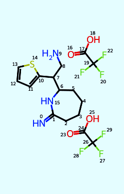 N=C1CCCCC(C(CN)c2cccs2)N1.O=C(O)C(F)(F)F.O=C(O)C(F)(F)F